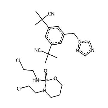 CC(C)(C#N)c1cc(Cn2cncn2)cc(C(C)(C)C#N)c1.O=P1(NCCCl)OCCCN1CCCl